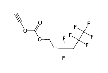 C#COC(=O)OCCC(F)(F)CC(F)(F)C(F)(F)F